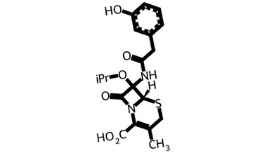 CC1=C(C(=O)O)N2C(=O)C(NC(=O)Cc3cccc(O)c3)(OC(C)C)[C@@H]2SC1